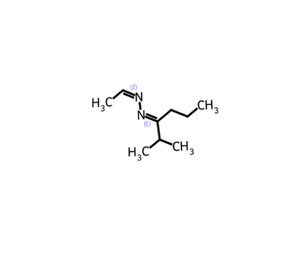 C/C=N\N=C(/CCC)C(C)C